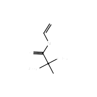 C=CNC(=O)C(C)(CCCCC)CCCCCC